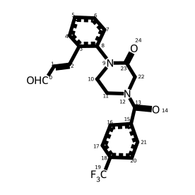 O=C/C=C/c1ccccc1N1CCN(C(=O)c2ccc(C(F)(F)F)cc2)CC1=O